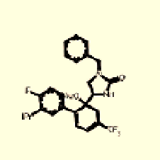 COC1(C2CN(Cc3ccccc3)C(=O)N2)CC(C(F)(F)F)=CC=C1c1ccc(F)c(C(C)C)c1